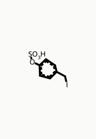 O=S(=O)(O)Oc1ccc(CI)cc1